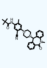 Cc1cc(N2CCN(C3c4ccccc4C(=O)N(C)c4ccccc43)CC2)c(C#N)cc1NC(=O)C(C)(C)C